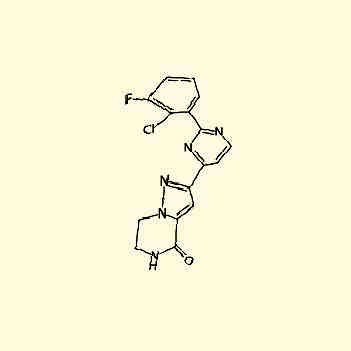 O=C1NCCn2nc(-c3ccnc(-c4cccc(F)c4Cl)n3)cc21